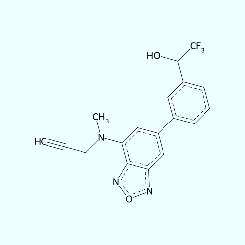 C#CCN(C)c1cc(-c2cccc(C(O)C(F)(F)F)c2)cc2nonc12